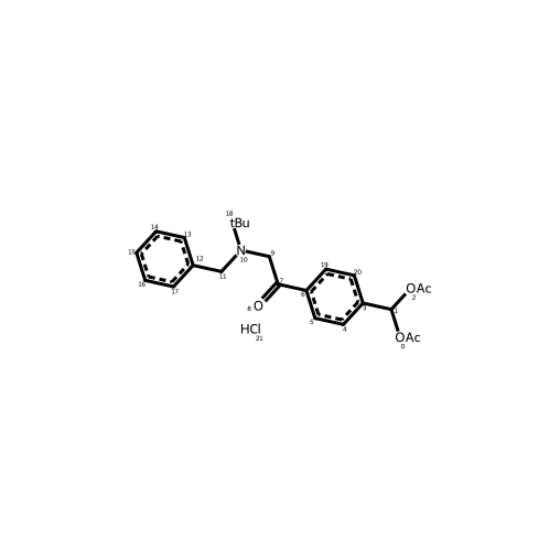 CC(=O)OC(OC(C)=O)c1ccc(C(=O)CN(Cc2ccccc2)C(C)(C)C)cc1.Cl